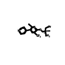 Cc1nc(OC[C@@](C)(N)CC(C)C)c(C(F)(F)F)cc1-c1ccncc1